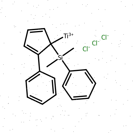 C[Si](C)(c1ccccc1)[C]1([Ti+3])C=CC=C1c1ccccc1.[Cl-].[Cl-].[Cl-]